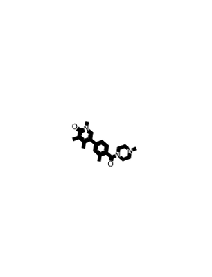 Cc1cc(-c2cn(C)c(=O)c(C)c2C)ccc1C(=O)N1CCN(C)CC1